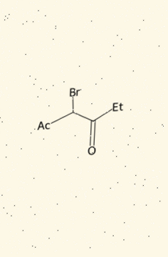 CCC(=O)C(Br)C(C)=O